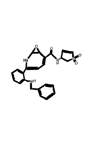 O=C(N[C@@H]1C=CS(=O)(=O)C1)C1=CC=C(c2ccccc2NCc2ccccc2)NC2OC12